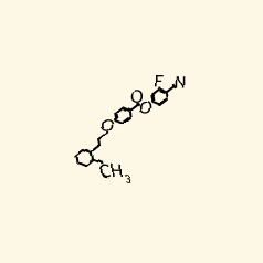 CCC1CCCCC1CCCOc1ccc(C(=O)Oc2ccc(C#N)c(F)c2)cc1